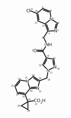 O=C(NCc1ncn2ccc(Cl)cc12)c1cnn(Cc2cn3cccc(C4(C(=O)O)CC4)c3n2)c1